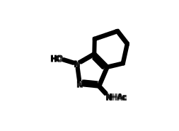 CC(=O)Nc1nn(O)c2c1CCCC2